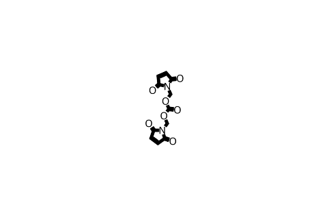 O=C(OCN1C(=O)C=CC1=O)OCN1C(=O)C=CC1=O